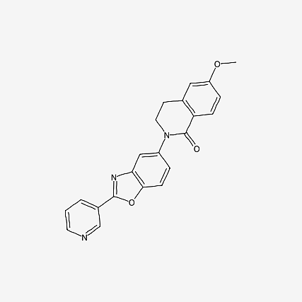 COc1ccc2c(c1)CCN(c1ccc3oc(-c4cccnc4)nc3c1)C2=O